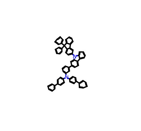 c1ccc(-c2ccc(N(c3ccc(-c4ccccc4)cc3)c3cccc(-c4ccc5c6ccccc6n(-c6ccc7c(c6)-c6ccccc6C7(c6ccccc6)c6ccccc6)c5c4)c3)cc2)cc1